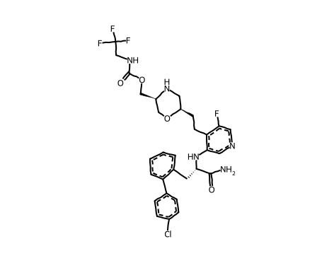 NC(=O)[C@H](Cc1ccccc1-c1ccc(Cl)cc1)Nc1cncc(F)c1CC[C@@H]1CN[C@H](COC(=O)NCC(F)(F)F)CO1